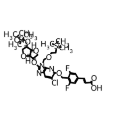 CC(C)(C)[Si](C)(C)O[C@@H]1CO[C@H]2[C@@H]1OC[C@H]2Oc1nc2cc(Cl)c(OCc3c(F)cc(C=CC(=O)O)cc3F)nc2n1COCC[Si](C)(C)C